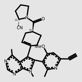 C#Cc1cc(OC)c(-c2c(C3=CC[C@@H](C(=O)N4CCC[C@H]4C#N)CC3)c3c(C)ncnc3n2C)c(C)n1